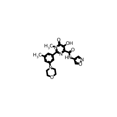 Cc1cc(-c2nc(C(=O)Nc3cnoc3)c(O)c(=O)n2C)cc(N2CCOCC2)c1